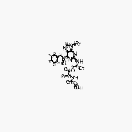 CC[C@H](COC(=O)[C@@H](NC(=O)OC(C)(C)C)C(C)C)Nc1nc(N(CC)Cc2ccccc2)c2ncn(C(C)C)c2n1